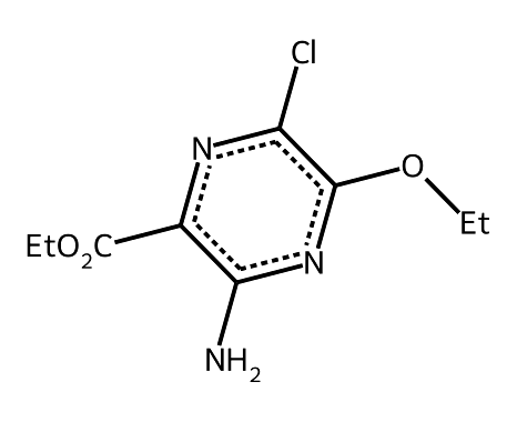 CCOC(=O)c1nc(Cl)c(OCC)nc1N